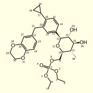 CCOP(=O)(OCC)OC[C@H]1O[C@@H](c2ccc(C3CC3)c(Cc3ccc4c(c3)OCCO4)c2)[C@H](O)[C@@H](O)[C@@H]1C